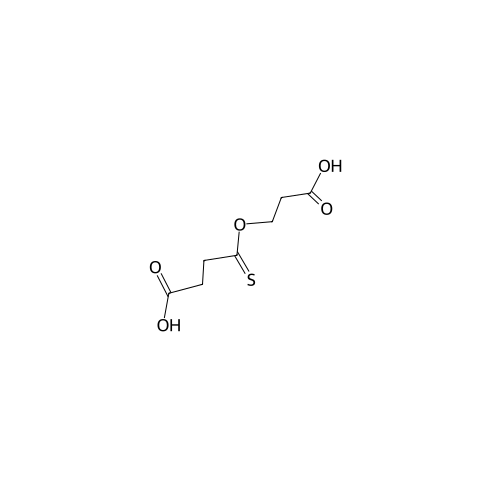 O=C(O)CCOC(=S)CCC(=O)O